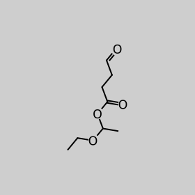 CCOC(C)OC(=O)CCC=O